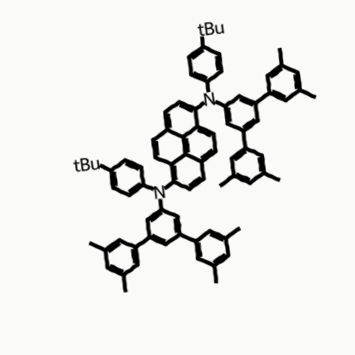 Cc1cc(C)cc(-c2cc(-c3cc(C)cc(C)c3)cc(N(c3ccc(C(C)(C)C)cc3)c3ccc4ccc5c(N(c6ccc(C(C)(C)C)cc6)c6cc(-c7cc(C)cc(C)c7)cc(-c7cc(C)cc(C)c7)c6)ccc6ccc3c4c65)c2)c1